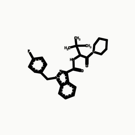 CC(C)(C)C(NC(=O)c1nn(Cc2ccc(F)cc2)c2ccccc12)C(=O)N1CCCCC1